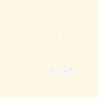 Cc1nnc(-c2c[nH]c(=O)[nH]c2=O)cc1C1CC1Cc1ccccc1